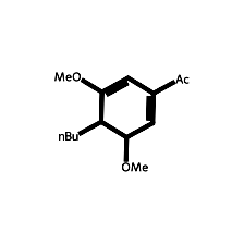 CCCCC1C(OC)=CC(C(C)=O)=CC1OC